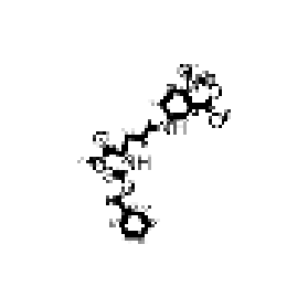 COC(=O)c1cc(NCCCC(NC(=O)OCc2ccccc2)C(=O)OC)ccc1[N+](=O)[O-]